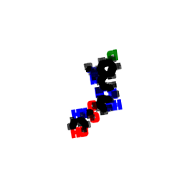 CC[C@H](CO)NC(=O)Oc1c[nH]c2ncc(-c3nn(C)c4cc(Cl)ccc34)nc12